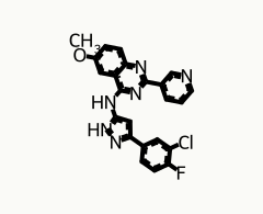 COc1ccc2nc(-c3cccnc3)nc(Nc3cc(-c4ccc(F)c(Cl)c4)n[nH]3)c2c1